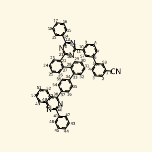 N#Cc1cccc(-c2cccc(-c3nc(-c4ccccc4)nc(-c4ccccc4-c4ccccc4-c4ccc(-c5nc(-c6ccccc6)nc6ccccc56)cc4)n3)c2)c1